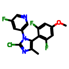 COc1cc(F)c(-c2c(C)nc(Cl)n2-c2cncc(F)c2)c(F)c1